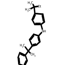 CCC(C)(C)c1ccc(Nc2ccc(C(C)(C)c3ccccc3)cc2)cc1